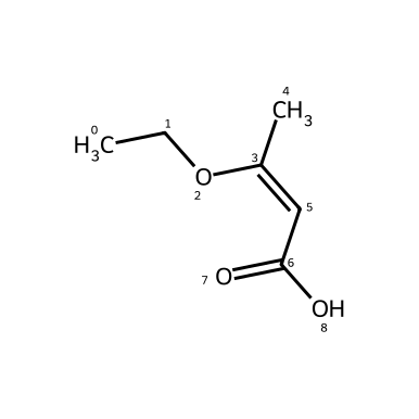 CCO/C(C)=C\C(=O)O